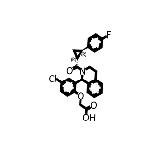 O=C(O)COc1ccc(Cl)cc1C1c2ccccc2CCN1C(=O)[C@@H]1C[C@H]1c1ccc(F)cc1